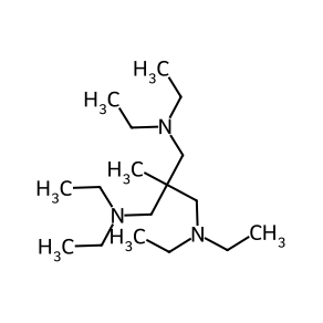 CCN(CC)CC(C)(CN(CC)CC)CN(CC)CC